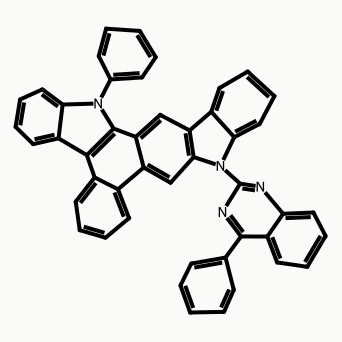 c1ccc(-c2nc(-n3c4ccccc4c4cc5c(cc43)c3ccccc3c3c4ccccc4n(-c4ccccc4)c53)nc3ccccc23)cc1